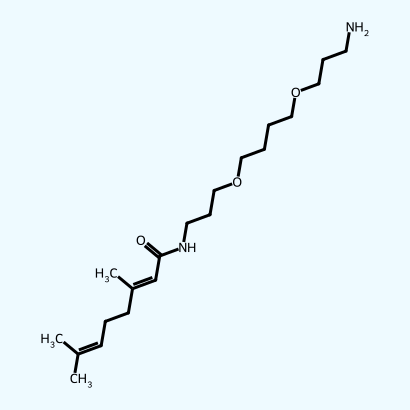 CC(C)=CCC/C(C)=C/C(=O)NCCCOCCCCOCCCN